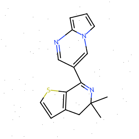 CC1(C)Cc2ccsc2C(c2cnc3cccn3c2)=N1